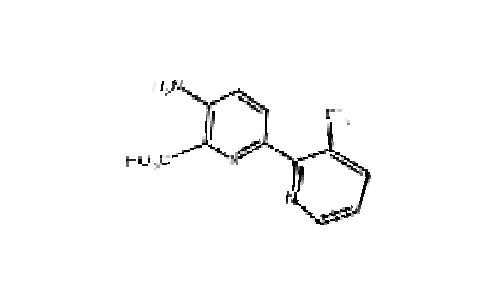 Nc1ccc(-c2ncccc2C(F)(F)F)nc1C(=O)O